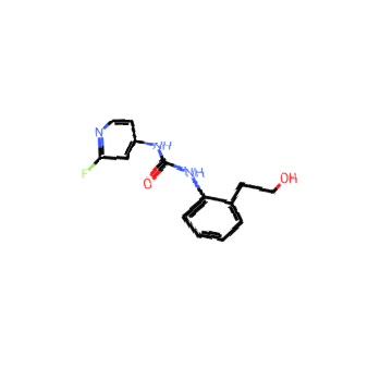 O=C(Nc1ccnc(F)c1)Nc1ccccc1CCO